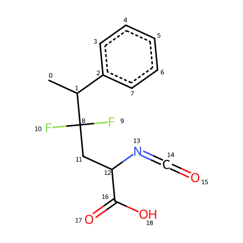 CC(c1ccccc1)C(F)(F)CC(N=C=O)C(=O)O